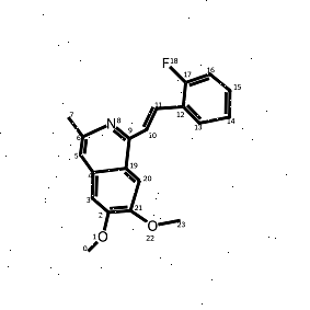 COc1cc2cc(C)nc(C=Cc3ccccc3F)c2cc1OC